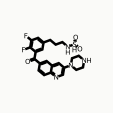 O=C(c1ccc2ncc(N3CCNCC3)cc2c1)c1cc(CCCN[SH](=O)=O)cc(F)c1F